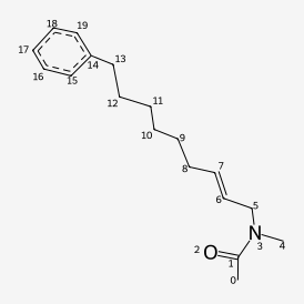 CC(=O)N(C)C/C=C/CCCCCCc1ccccc1